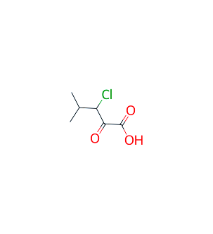 CC(C)C(Cl)C(=O)C(=O)O